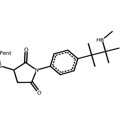 CBC(C)(C)C(C)(C)c1ccc(N2C(=O)CC(SCCCCC)C2=O)cc1